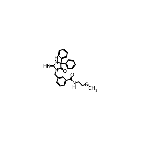 COCCNC(=O)c1cccc(CN2C(=N)NC(c3ccccc3)(c3ccccc3)C2=O)c1